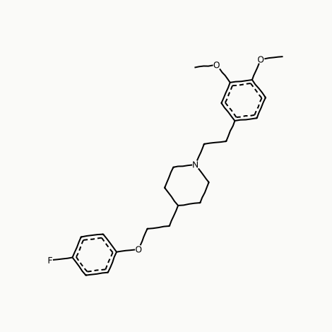 COc1ccc(CCN2CCC(CCOc3ccc(F)cc3)CC2)cc1OC